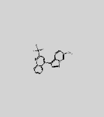 Cc1cnc2c(-c3cc(C(F)(F)F)nc4ccccc34)cnn2c1